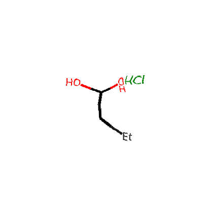 CCCC(O)O.Cl